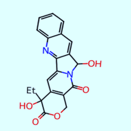 CCC1(O)C(=O)OCc2c1cc1n(c2=O)C(O)c2cc3ccccc3nc2-1